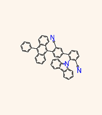 N#Cc1cc(-c2cccc(C#N)c2-n2c3ccccc3c3ccccc32)ccc1-c1c2ccccc2c(-c2ccccc2)c2ccccc12